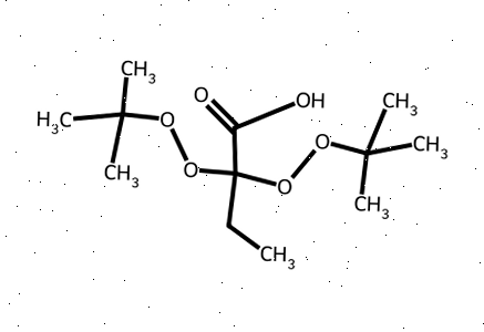 CCC(OOC(C)(C)C)(OOC(C)(C)C)C(=O)O